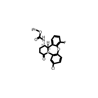 CC(C)OC(=O)N[C@H]1CCC(=O)N2c3cc(Cl)ccc3Oc3c(F)cccc3[C@@H]12